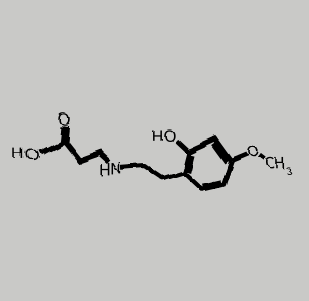 COc1ccc(CCNCCC(=O)O)c(O)c1